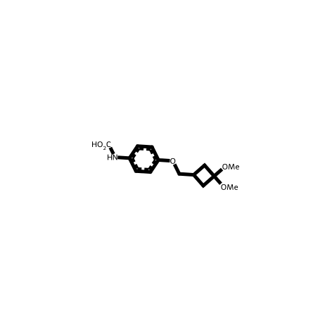 COC1(OC)CC(COc2ccc(NC(=O)O)cc2)C1